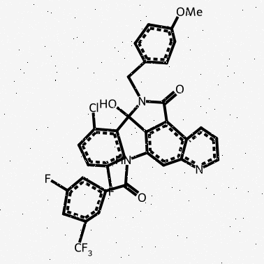 COc1ccc(CN2C(=O)c3c(c(NC(=O)c4cc(F)cc(C(F)(F)F)c4)cc4ncccc34)C2(O)c2cc(F)ccc2Cl)cc1